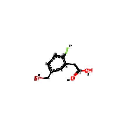 O=C(O)Cc1cc(CBr)ccc1F